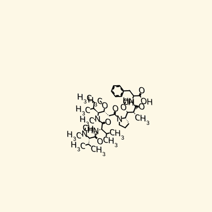 CCC(C)[C@@H]([C@@H](CC(=O)N1CCC[C@H]1[C@H](OC)[C@@H](C)C(=O)NC(Cc1ccccc1)C(=O)O)OC)N(C)C(=O)[C@@H](NC(=O)[C@H](C(C)C)N(C)C)C(C)C